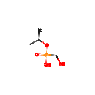 CCC(C)OP(=O)(O)CO